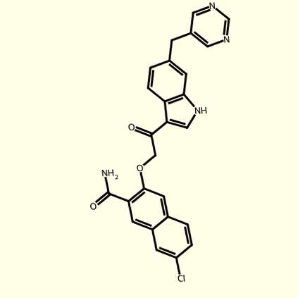 NC(=O)c1cc2cc(Cl)ccc2cc1OCC(=O)c1c[nH]c2cc(Cc3cncnc3)ccc12